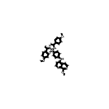 COc1ccc(C(C)N=S(=O)(NC(C)c2ccc(OC)cc2)c2ccc(Nc3ccnc4c(OC)nccc34)cc2)cc1